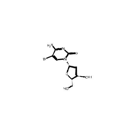 Nc1nc(=O)n([C@@H]2C[C@@H](O)[C@H](CO)O2)cc1Br